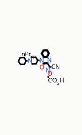 CCC[C@@H]1C[C@H](n2c(=O)c(/C(C#N)=N/OCC(=O)O)nc3ccccc32)CCN1C1CCCCC1